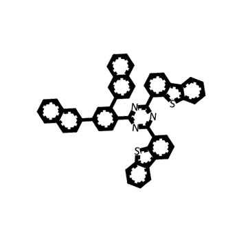 c1ccc2cc(-c3ccc(-c4nc(-c5cccc6c5sc5ccccc56)nc(-c5cccc6c5sc5ccccc56)n4)c(-c4ccc5ccccc5c4)c3)ccc2c1